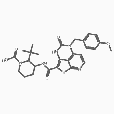 COc1ccc(CN2C(=O)Nc3c(C(=O)NC4CCCN(C(=O)O)C4C(C)(C)C)sc4nccc2c34)cc1